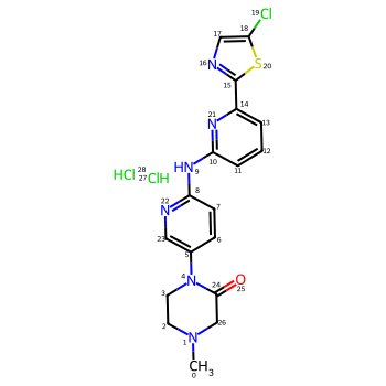 CN1CCN(c2ccc(Nc3cccc(-c4ncc(Cl)s4)n3)nc2)C(=O)C1.Cl.Cl